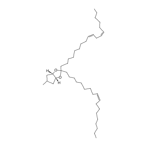 CCCCC/C=C\C/C=C\CCCCCCCCC1(CCCCCCCC/C=C\CCCCCCCC)O[C@H]2CC(C)C[C@H]2O1